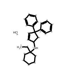 CCC1(NC2C=CC(c3ccccc3)(c3ccccc3)C2)CCCCC1.Cl